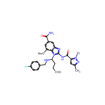 CCn1nc(C)cc1C(=O)Nc1nc2cc(C(N)=O)cc(OC)c2n1C(CCC=O)NCc1ccc(F)cc1